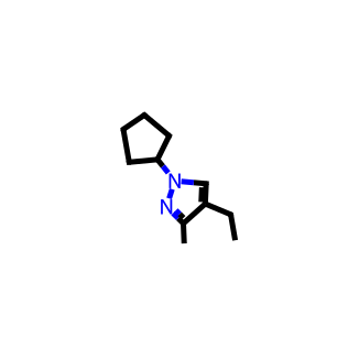 CCc1cn(C2CCCC2)nc1C